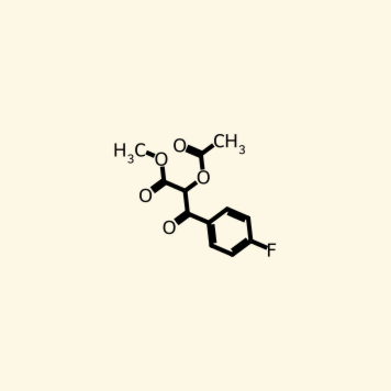 COC(=O)C(OC(C)=O)C(=O)c1ccc(F)cc1